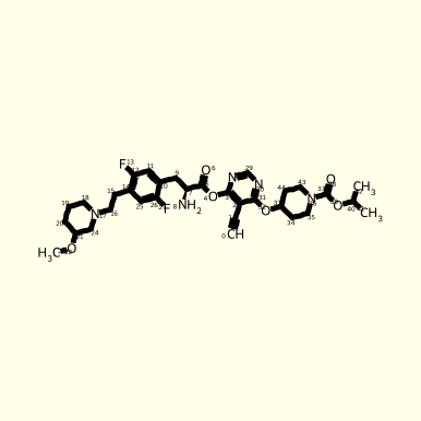 C#Cc1c(OC(=O)[C@@H](N)Cc2cc(F)c(CCN3CCCC(OC)C3)cc2F)ncnc1OC1CCN(C(=O)OC(C)C)CC1